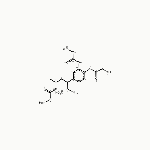 CCCOC(=O)Oc1ccc(C(CC(C)OC(=O)OC(C)CCC)[C@H](N)C(=O)O)cc1OC(=O)OCCC